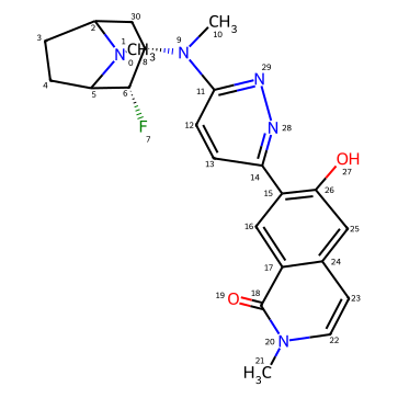 CN1C2CCC1[C@@H](F)[C@@H](N(C)c1ccc(-c3cc4c(=O)n(C)ccc4cc3O)nn1)C2